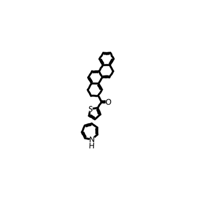 C1=CC=CNC=C1.O=C(c1cccs1)C1C=c2c(ccc3c2=CCc2ccccc2-3)CC1